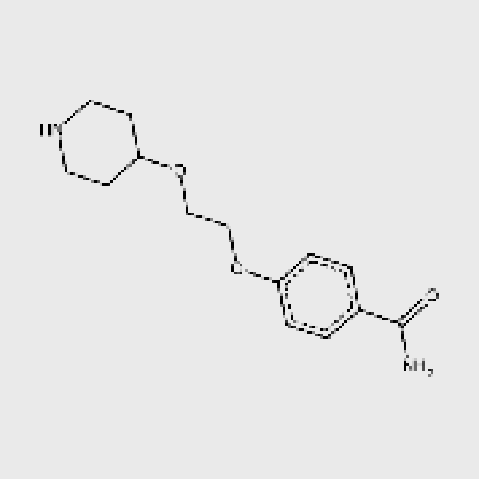 NC(=O)c1ccc(OCCOC2CCNCC2)cc1